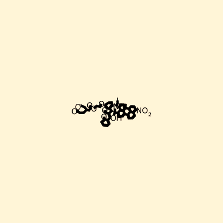 CC(C)(c1ccc2c3cccc4c([N+](=O)[O-])ccc(c5cccc1c52)c43)[C@H](c1cc(OCCOC(=O)CC2CCOC(=O)CC2)ccc1NCI)c1c(O)c2ccccc2oc1=O